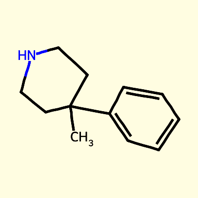 CC1(c2ccccc2)CCNCC1